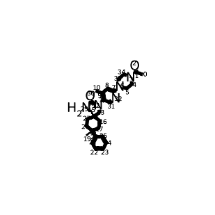 CC(=O)N1CCN(c2cc(C)c(N(C[C@]3(C)CC[C@](C)(c4ccccc4)CC3)C(N)=O)cn2)CC1